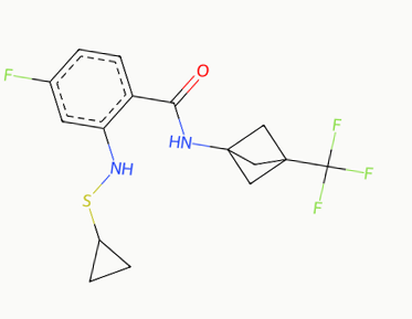 O=C(NC12CC(C(F)(F)F)(C1)C2)c1ccc(F)cc1NSC1CC1